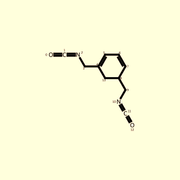 O=C=NCC1=CC=CC(CN=C=O)C1